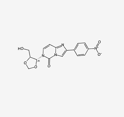 O=c1n([C@@H]2OCOC2CO)ccc2nc(-c3ccc([N+](=O)[O-])cc3)cn12